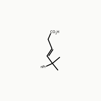 CCCC(C)(C)C=CCC(=O)O